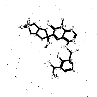 COC1(c2cc3c(N[C@H](C)c4cccc(C(P)P)c4F)ncnc3n(C)c2=O)CC2CS(=O)(=O)CC2C1